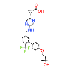 CC(C)(O)CCOc1ccc(-c2cc(CNc3cnc(C4C[C@H]4C(=O)O)cn3)ccc2C(F)(F)F)cc1